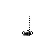 CCCCCCCCCCCCCCC(OC(=O)CNC(=O)C(C)C)C(=O)O